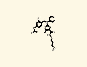 C/C=C\C(=C/C)N(Cc1ccc(OC(F)F)cc1F)c1nc(C(=O)NSCCCOC)c(C)s1